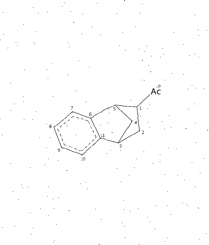 CC(=O)C1CC2CC1c1ccccc12